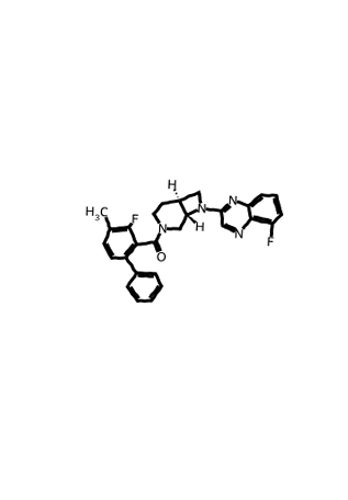 Cc1ccc(-c2ccccc2)c(C(=O)N2CC[C@H]3CN(c4cnc5c(F)cccc5n4)[C@@H]3C2)c1F